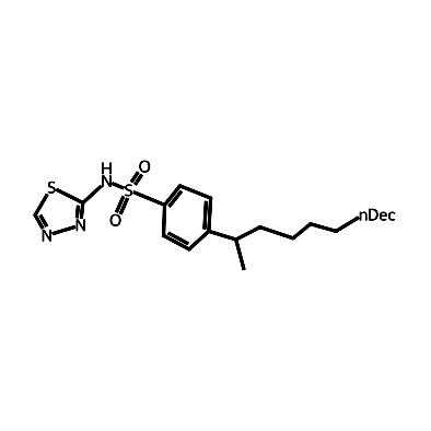 CCCCCCCCCCCCCCC(C)c1ccc(S(=O)(=O)Nc2nncs2)cc1